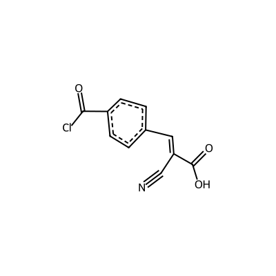 N#C/C(=C\c1ccc(C(=O)Cl)cc1)C(=O)O